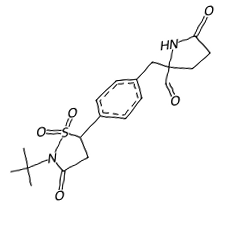 CC(C)(C)N1C(=O)CC(c2ccc(CC3(C=O)CCC(=O)N3)cc2)S1(=O)=O